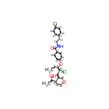 C=C/C(Oc1ccc(C(=O)NCCc2ccc(Cl)cc2)cc1)=C(Cl)\C=C1/COCCC1C(=C)O